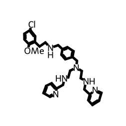 COc1ccc(Cl)cc1CCNCc1ccc(CN(CCNCc2ccccn2)CCNCc2ccccn2)cc1